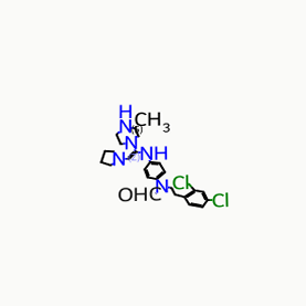 C[C@H]1CN(/C(=C\N2CCCC2)Nc2ccc(N(C=O)CCc3ccc(Cl)cc3Cl)cc2)CCN1